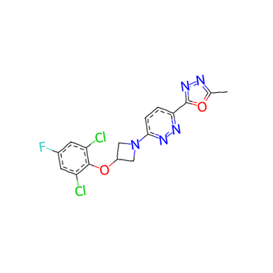 Cc1nnc(-c2ccc(N3CC(Oc4c(Cl)cc(F)cc4Cl)C3)nn2)o1